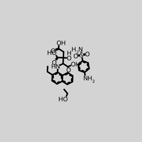 CCO.CCc1ccc2ccccc2c1NC(C(=O)O)C(O)(CC(=O)O)C(=O)O.Nc1ccc(S(N)(=O)=O)cc1